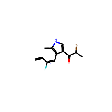 C=C/C(F)=C\c1c(C(=O)C(C)Br)c[nH]c1C